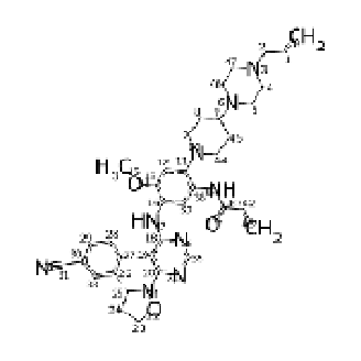 C=CCN1CCN(C2CCN(c3cc(OC)c(Nc4cc(N5OCC[C@@H]5c5cccc(C#N)c5)ncn4)cc3NC(=O)C=C)CC2)CC1